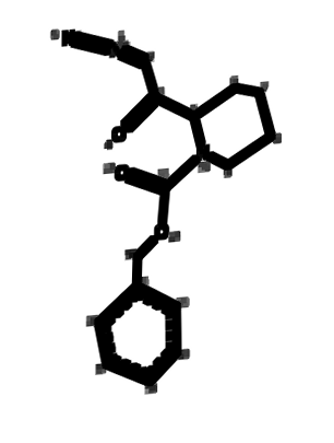 [N-]=[N+]=CC(=O)C1CCCCN1C(=O)OCc1ccccc1